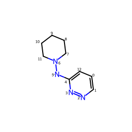 c1cnnc([N]N2CCCCC2)c1